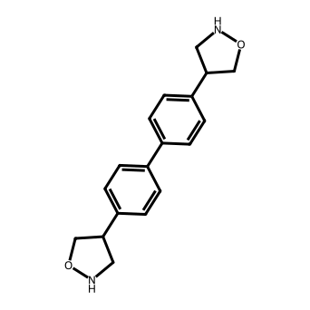 c1cc(C2CNOC2)ccc1-c1ccc(C2CNOC2)cc1